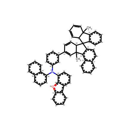 CC12C=CC=CC1C1(c3ccccc32)c2ccc3ccccc3c2C2(C)C=C(c3cccc(N(c4cccc5ccccc45)c4cccc5c4oc4ccccc45)c3)C=CC21